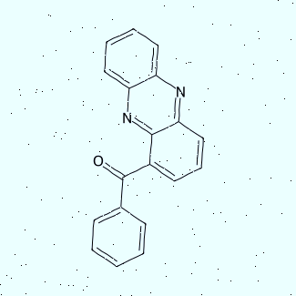 O=C(c1ccccc1)c1cccc2nc3ccccc3nc12